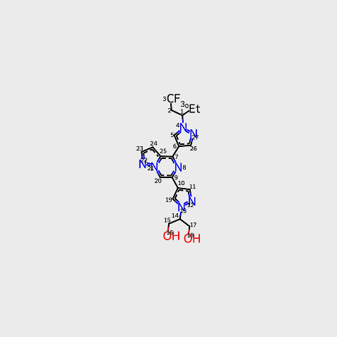 CCC(CC(F)(F)F)n1cc(-c2nc(-c3cnn(C(CO)CO)c3)cn3nccc23)cn1